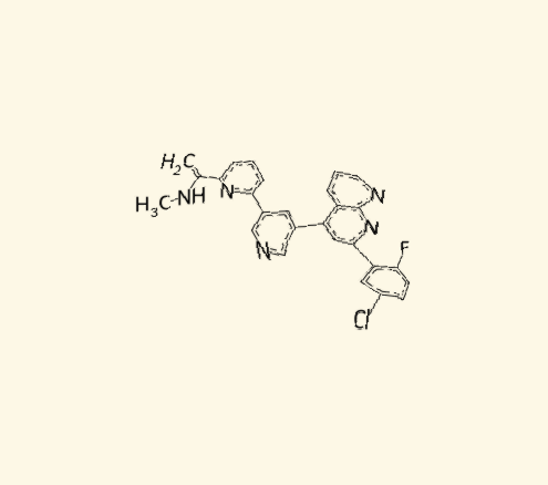 C=C(NC)c1cccc(-c2cncc(-c3cc(-c4cc(Cl)ccc4F)nc4ncccc34)c2)n1